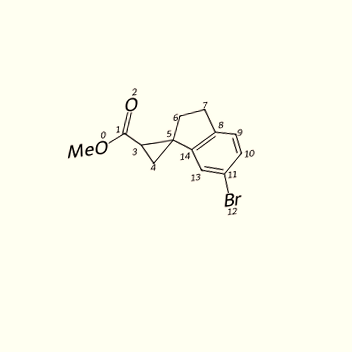 COC(=O)C1CC12CCc1ccc(Br)cc12